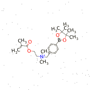 C=C(C)C(=O)OCC[N+](C)(C)Cc1ccc(B2OC(C)(C)C(C)(C)O2)cc1